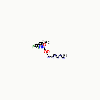 CC/C=C\C/C=C\C/C=C\C/C=C\C/C=C\C/C=C\CCC(=O)OCCCNC(=O)c1cc(-c2ccc(F)cc2F)ccc1OC(C)=O